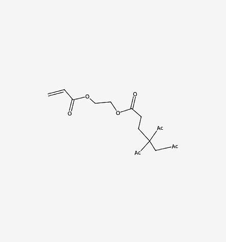 C=CC(=O)OCCOC(=O)CCC(CC(C)=O)(C(C)=O)C(C)=O